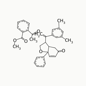 C=C(c1cc(C)cc(C)c1)C1COC2(c3ccccc3)C=CC(=O)CC12.COC(=O)c1ccccc1C(C)=O